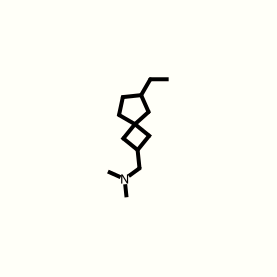 CCC1CCC2(C1)CC(CN(C)C)C2